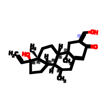 C=C[C@]1(O)CC[C@H]2[C@@H]3[C@H](C)CC4=CC(=O)/C(=C\O)C[C@]4(C)[C@H]3CC[C@@]21C